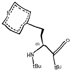 CC(C)(C)N[C@@H](Cc1ccncc1)C(=O)C(C)(C)C